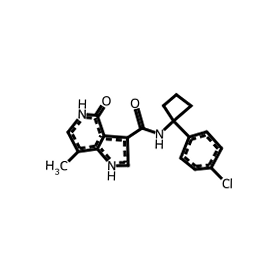 Cc1c[nH]c(=O)c2c(C(=O)NC3(c4ccc(Cl)cc4)CCC3)c[nH]c12